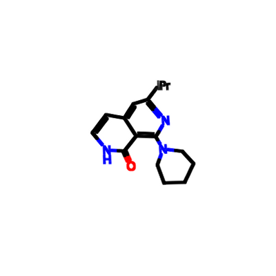 CC(C)c1cc2cc[nH]c(=O)c2c(N2CCCCC2)n1